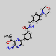 CNC(=O)c1nc(-c2cccc(C(=O)NCc3ccc(N4CCOCC4)cc3)c2)cnc1N